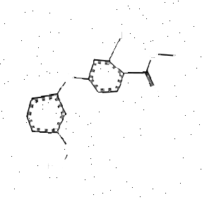 COc1cccc(Oc2ccc(C(=O)OI)c(I)c2)c1